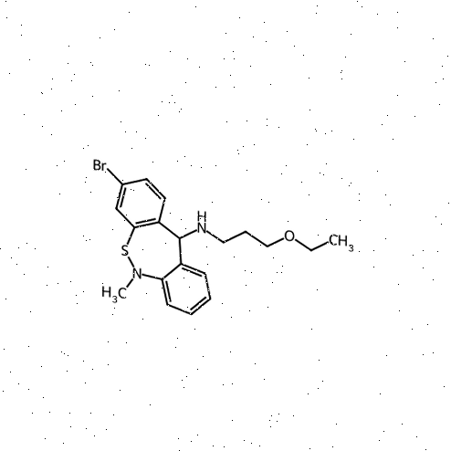 CCOCCCNC1c2ccc(Br)cc2SN(C)c2ccccc21